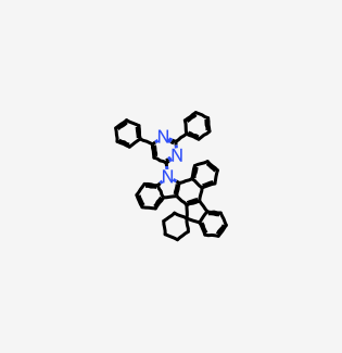 c1ccc(-c2cc(-n3c4ccccc4c4c5c(c6ccccc6c43)-c3ccccc3C53CCCCC3)nc(-c3ccccc3)n2)cc1